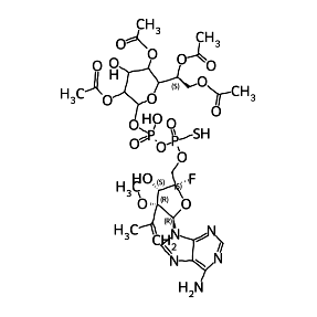 C=C(C)[C@]1(OC)[C@H](n2cnc3c(N)ncnc32)O[C@](F)(COP(=O)(S)OP(=O)(O)OC2OC([C@H](COC(C)=O)OC(C)=O)C(OC(C)=O)C(O)C2OC(C)=O)[C@H]1O